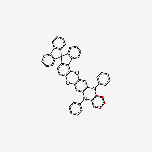 c1ccc(N(c2ccccc2)c2cc3c(cc2N(c2ccccc2)c2ccccc2)Oc2c(ccc4c2-c2ccccc2C42c4ccccc4-c4ccccc42)O3)cc1